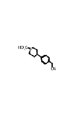 N#CCc1ccc(C2CCN(C(=O)O)CC2)cc1